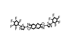 Fc1c(F)c(F)c(-c2ncc(-c3nc4cc5cc6oc(-c7cnc(-c8c(F)c(F)c(F)c(F)c8F)s7)nc6cc5cc4o3)s2)c(F)c1F